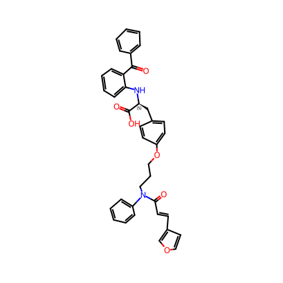 O=C(c1ccccc1)c1ccccc1N[C@@H](Cc1ccc(OCCCN(C(=O)C=Cc2ccoc2)c2ccccc2)cc1)C(=O)O